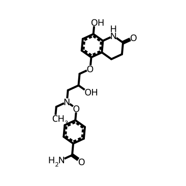 CCN(CC(O)COc1ccc(O)c2c1CCC(=O)N2)Oc1ccc(C(N)=O)cc1